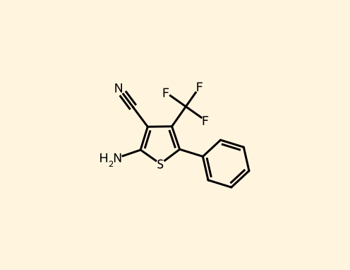 N#Cc1c(N)sc(-c2ccccc2)c1C(F)(F)F